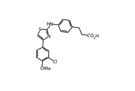 COc1ccc(-c2csc(Nc3ccc(CCC(=O)O)cc3)n2)cc1Cl